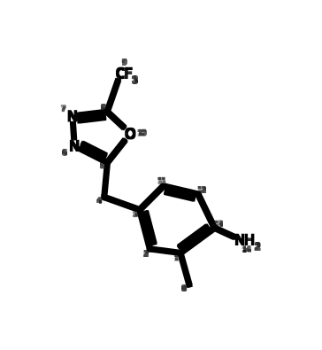 Cc1cc(Cc2nnc(C(F)(F)F)o2)ccc1N